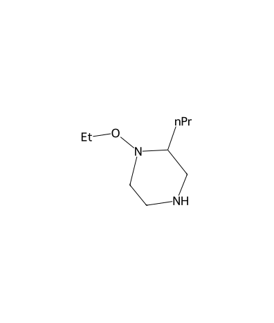 CCCC1CNCCN1OCC